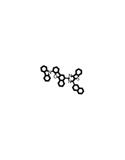 c1ccc2cc(-c3nc(-c4cc5c6cccc(-n7c8ccccc8c8ccccc87)c6oc5c5ccccc45)nc4c3sc3ccccc34)ccc2c1